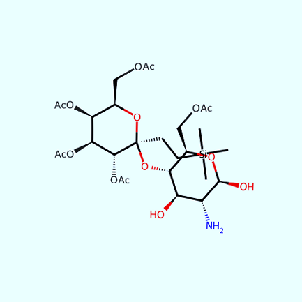 CC(=O)OC[C@H]1O[C@@](CC[Si](C)(C)C)(O[C@H]2[C@H](O)[C@@H](N)[C@H](O)O[C@@H]2COC(C)=O)[C@H](OC(C)=O)[C@@H](OC(C)=O)[C@H]1OC(C)=O